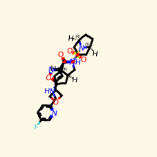 O=C(NC1C[C@H]2CC[C@@H](C1)N2S(=O)(=O)N1C[C@H]2CC(NCc3ccc(F)cn3)C[C@H]2C1)c1cc(C2COC2)on1